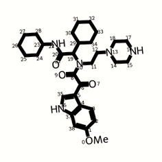 COc1ccc2c(C(=O)C(=O)N(CCN3CCNCC3)C(C(=O)NC3CCCCC3)C3CCCCC3)c[nH]c2c1